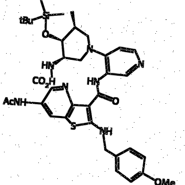 COc1ccc(CNc2sc3cc(NC(C)=O)cnc3c2C(=O)Nc2cnccc2N2C[C@H](C)[C@H](O[Si](C)(C)C(C)(C)C)[C@H](NC(=O)O)C2)cc1